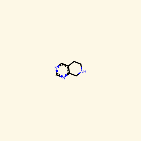 [c]1ncc2c(n1)CNCC2